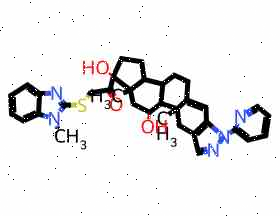 Cn1c(SCC(=O)[C@@]2(O)CCC3C4CCC5=Cc6c(cnn6-c6ccccn6)CC5(C)C4[C@@H](O)CC32C)nc2ccccc21